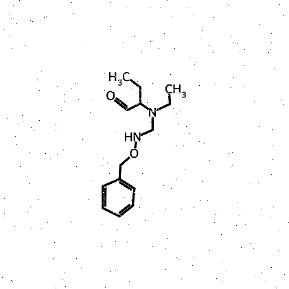 CCC(C=O)N(CC)CNOCc1ccccc1